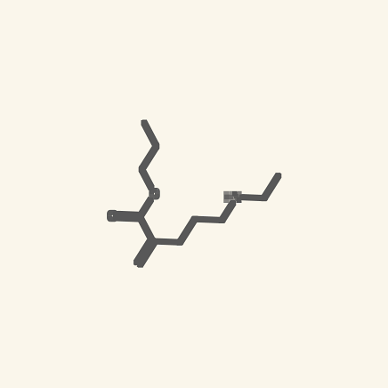 C=C(CCCNCC)C(=O)OCCC